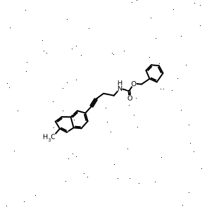 Cc1ccc2cc(C#CCCNC(=O)OCc3ccccc3)ccc2c1